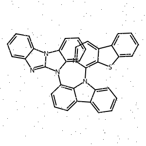 c1ccc2c(c1)nc1n(-c3cccc4c5ccccc5n(-c5nccc6c5sc5ccccc56)c34)c3ccccc3n21